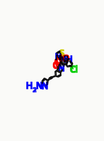 Nc1ccc(C#Cc2ccc3c(c2)C(=O)N([C@@H](C(=O)Nc2nccs2)c2cc(Cl)ccc2O)C3)cn1